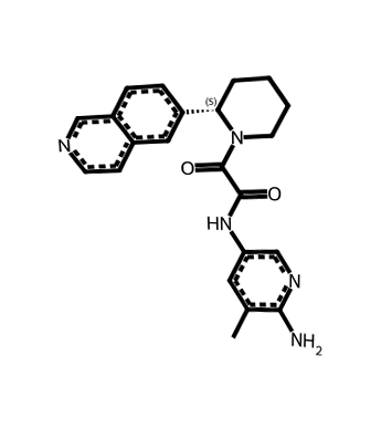 Cc1cc(NC(=O)C(=O)N2CCCC[C@H]2c2ccc3cnccc3c2)cnc1N